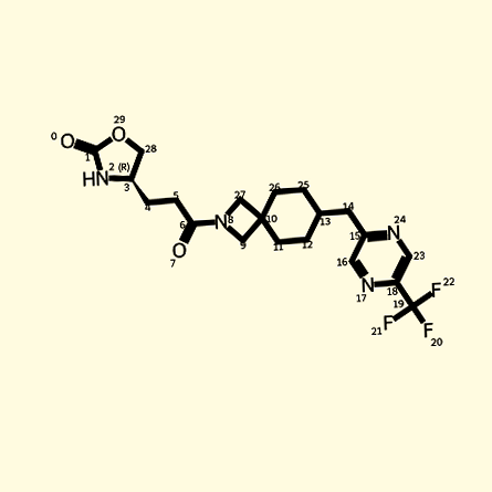 O=C1N[C@H](CCC(=O)N2CC3(CCC(Cc4cnc(C(F)(F)F)cn4)CC3)C2)CO1